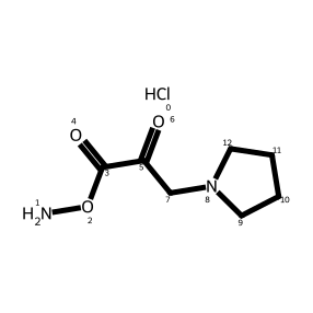 Cl.NOC(=O)C(=O)CN1CCCC1